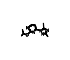 Cc1nc(C)n(-c2ccnc(OC(C)C)n2)n1